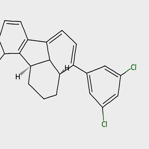 CC1CC=CC2=C1[C@@H]1CCC[C@@H]3C(c4cc(Cl)cc(Cl)c4)=CC=C2C31